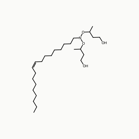 CCCCCCCC/C=C\CCCCCCCCN(OC(C)CCO)OC(C)CCO